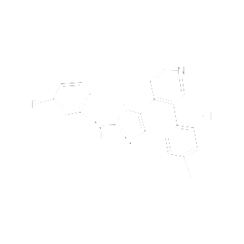 Cc1ccc(-c2cnccc2-c2cnc(Nc3cccc(F)c3)s2)c(Cl)c1